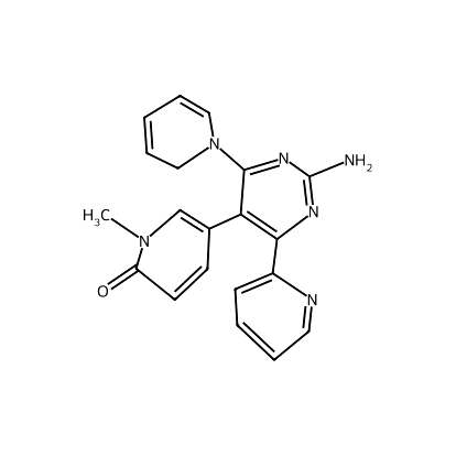 Cn1cc(-c2c(-c3ccccn3)nc(N)nc2N2C=CC=CC2)ccc1=O